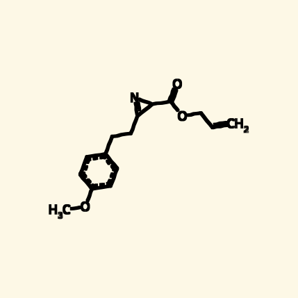 C=CCOC(=O)C1N=C1CCc1ccc(OC)cc1